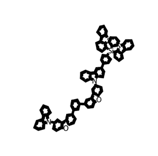 c1ccc([Si](c2ccc(-c3ccc4c(c3)c3ccccc3n4-c3ccc4oc5ccc(-c6cccc(-c7ccc8oc9ccc(-n%10c%11ccccc%11c%11ccccc%11%10)cc9c8c7)c6)cc5c4c3)cc2)(c2cccc3c2sc2ccccc23)c2cccc3c2sc2ccccc23)cc1